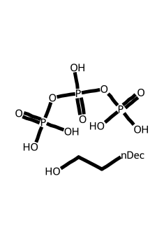 CCCCCCCCCCCCO.O=P(O)(O)OP(=O)(O)OP(=O)(O)O